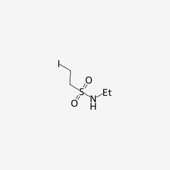 CCNS(=O)(=O)CCI